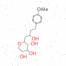 COc1ccc(CCC(O)CC2OC[C@@H](O)[C@H](O)[C@H]2O)cc1